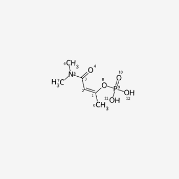 C/C(=C/C(=O)N(C)C)OP(=O)(O)O